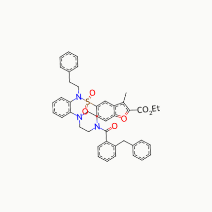 CCOC(=O)c1oc2ccc(S(=O)(=O)N(CCc3ccccc3)c3ccccc3N3CCN(C(=O)c4ccccc4Cc4ccccc4)CC3)cc2c1C